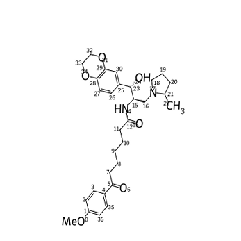 COc1ccc(C(=O)CCCCCC(=O)N[C@H](CN2CCCC2C)[C@@H](O)c2ccc3c(c2)OCCO3)cc1